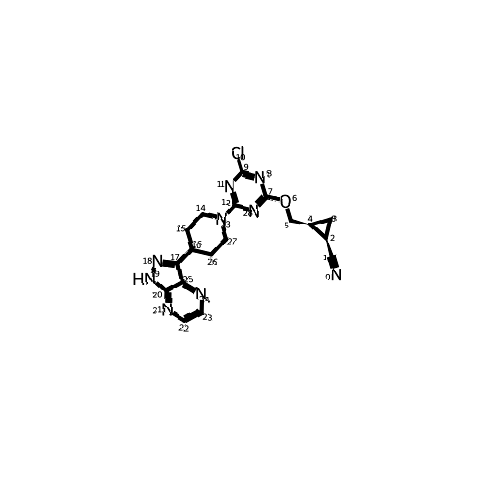 N#C[C@@H]1C[C@@H]1COc1nc(Cl)nc(N2CCC(c3n[nH]c4nccnc34)CC2)n1